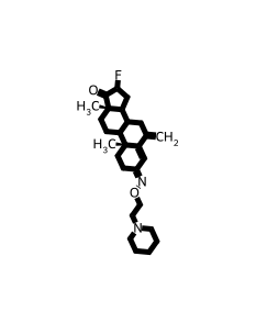 C=C1CC2C(CC[C@]3(C)C(=O)C(F)CC23)[C@@]2(C)CCC(=NOCCN3CCCCC3)C=C12